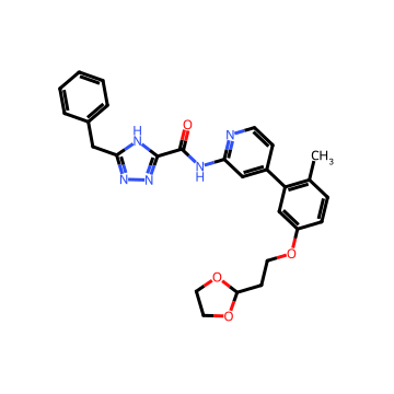 Cc1ccc(OCCC2OCCO2)cc1-c1ccnc(NC(=O)c2nnc(Cc3ccccc3)[nH]2)c1